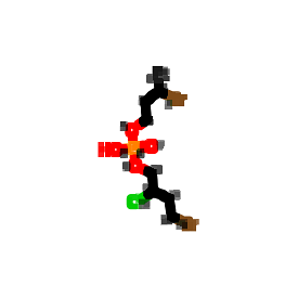 CCC(Br)CCOP(=O)(O)OCC(Cl)CCBr